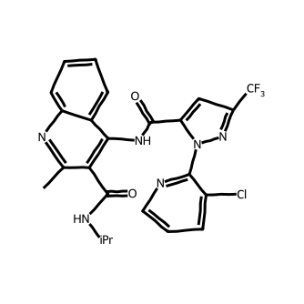 Cc1nc2ccccc2c(NC(=O)c2cc(C(F)(F)F)nn2-c2ncccc2Cl)c1C(=O)NC(C)C